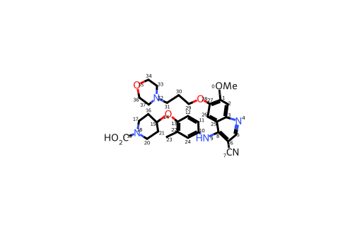 COc1cc2ncc(C#N)c(Nc3ccc(OC4CCN(C(=O)O)CC4)c(C)c3)c2cc1OCCCN1CCOCC1